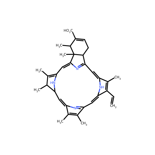 C=Cc1c(C)/c2[nH]/c1=C\C1=NC(=C\C3NC(=C(C)C3C)/C=C3N=C(/C=2)C2CC=C(C(=O)O)C(C)C\32C)/C(C)=C1C